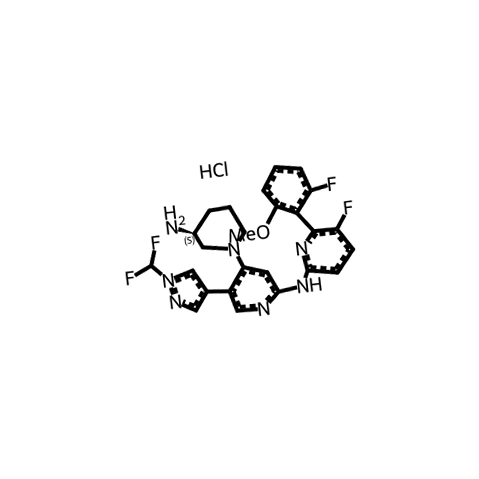 COc1cccc(F)c1-c1nc(Nc2cc(N3CCC[C@H](N)C3)c(-c3cnn(C(F)F)c3)cn2)ccc1F.Cl